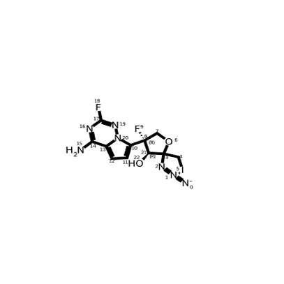 [N-]=[N+]=NC1(CI)OC[C@](F)(c2ccc3c(N)nc(F)nn23)[C@@H]1O